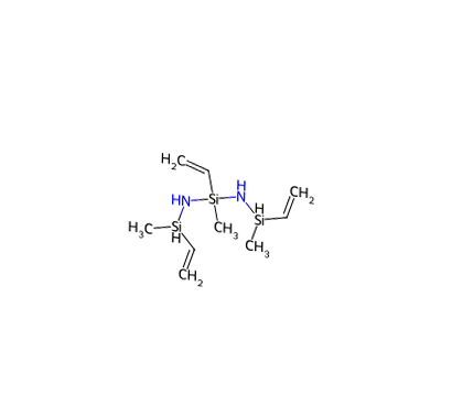 C=C[SiH](C)N[Si](C)(C=C)N[SiH](C)C=C